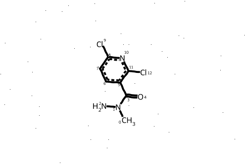 CN(N)C(=O)c1ccc(Cl)nc1Cl